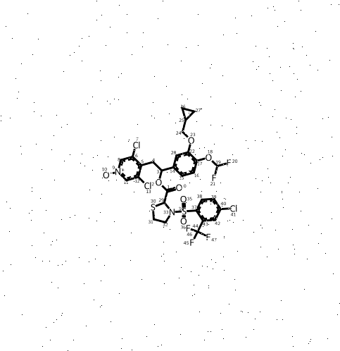 O=C(OC(Cc1c(Cl)c[n+]([O-])cc1Cl)c1ccc(OC(F)F)c(OCC2CC2)c1)C1SCCN1S(=O)(=O)c1ccc(Cl)cc1C(F)(F)F